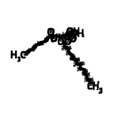 CC#CC#CC#CC#CC(=O)OC[C@@H](COP(=O)(O)O)OC(=O)CCCCCCCCCCCCCCC